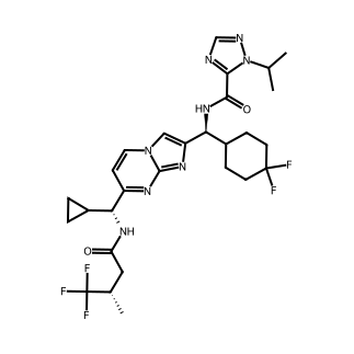 CC(C)n1ncnc1C(=O)N[C@H](c1cn2ccc([C@H](NC(=O)C[C@H](C)C(F)(F)F)C3CC3)nc2n1)C1CCC(F)(F)CC1